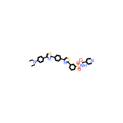 CCN(CC)c1ccc(-c2csc(-c3ccc(-c4csc(-c5cccc(S(=O)(=O)NC(=O)c6ccncc6)c5)n4)cc3)n2)cc1